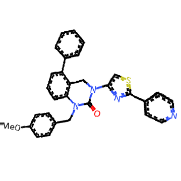 COc1ccc(CN2C(=O)N(c3csc(-c4ccncc4)n3)Cc3c(-c4ccccc4)cccc32)cc1